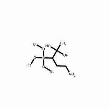 CCO[Si](OCC)(OCC)C(CCN)C(C)(O)O